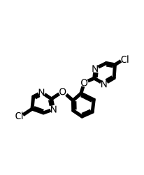 Clc1cnc(Oc2ccccc2Oc2ncc(Cl)cn2)nc1